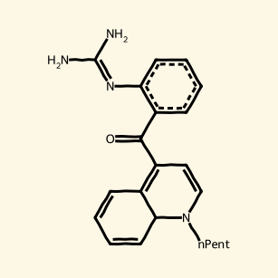 CCCCCN1C=CC(C(=O)c2ccccc2N=C(N)N)=C2C=CC=CC21